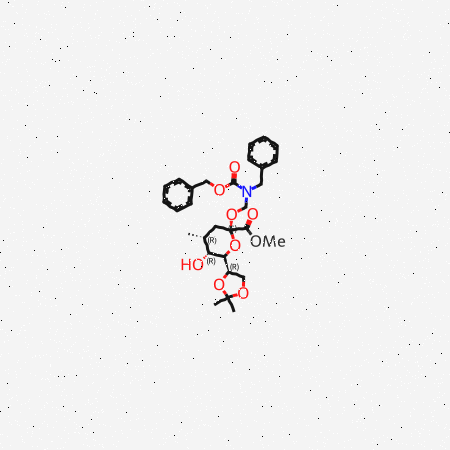 COC(=O)[C@@]1(OCN(Cc2ccccc2)C(=O)OCc2ccccc2)C[C@@H](C)[C@@H](O)C([C@H]2COC(C)(C)O2)O1